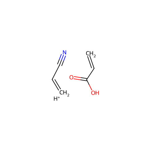 C=CC#N.C=CC(=O)O.[H+]